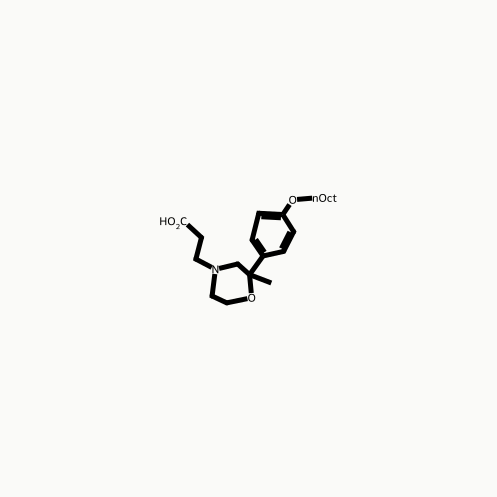 CCCCCCCCOc1ccc(C2(C)CN(CCC(=O)O)CCO2)cc1